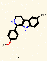 COc1ccc2[nH]c3c(c2c1)CCNC3c1ccc(OC(F)(F)F)cc1